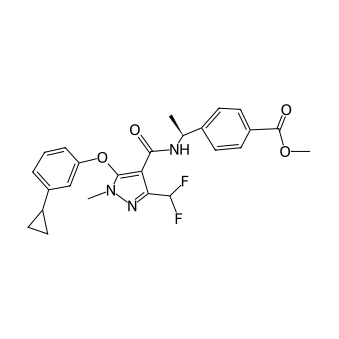 COC(=O)c1ccc([C@H](C)NC(=O)c2c(C(F)F)nn(C)c2Oc2cccc(C3CC3)c2)cc1